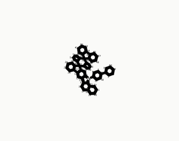 c1ccc(-c2ccc(-n3c4cc5c(cc4c4ccc6ccccc6c43)-c3ccccc3C53c4ccccc4C4(c5ccccc5-c5ccccc54)c4ccccc43)cc2)cc1